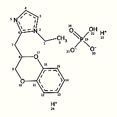 CCn1ccnc1CC1COc2ccccc2O1.O=P([O-])([O-])O.[H+].[H+]